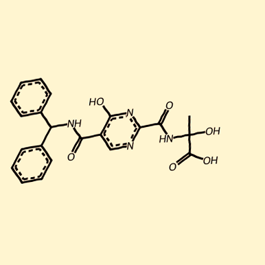 CC(O)(NC(=O)c1ncc(C(=O)NC(c2ccccc2)c2ccccc2)c(O)n1)C(=O)O